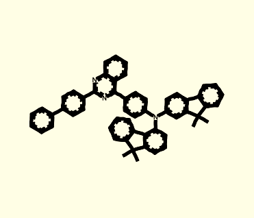 CC1(C)c2ccccc2-c2ccc(N(c3ccc(-c4nc(-c5ccc(-c6ccccc6)cc5)nc5ccccc45)cc3)c3cccc4c3-c3ccccc3C4(C)C)cc21